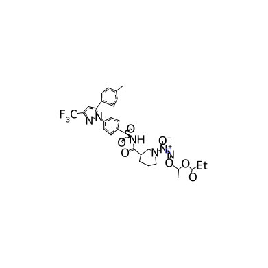 CCC(=O)OC(C)O/N=[N+](/[O-])N1CCCC(C(=O)NS(=O)(=O)c2ccc(-n3nc(C(F)(F)F)cc3-c3ccc(C)cc3)cc2)C1